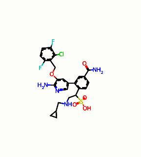 NC(=O)c1ccc(C(CNCC2CC2)S(=O)(=O)O)c(-c2cnc(N)c(OCc3c(F)ccc(F)c3Cl)c2)c1